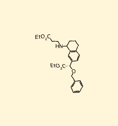 CCOC(=O)CCNC1CCCc2ccc([C@H](OCc3ccccc3)C(=O)OCC)cc21